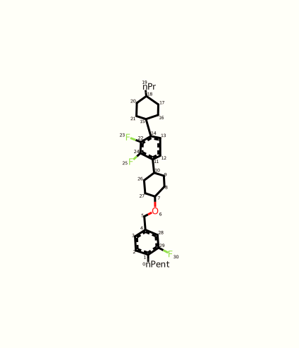 CCCCCc1ccc(COC2CCC(c3ccc(C4CCC(CCC)CC4)c(F)c3F)CC2)cc1F